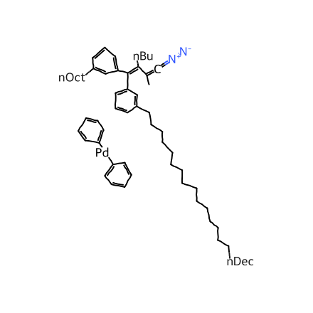 CCCCCCCCCCCCCCCCCCCCCCCCCc1cccc(C(=C(CCCC)C(C)=C=[N+]=[N-])c2cccc(CCCCCCCC)c2)c1.c1cc[c]([Pd][c]2ccccc2)cc1